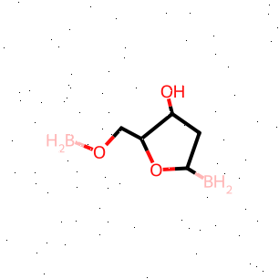 BOCC1OC(B)CC1O